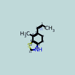 C/C=C\C1=C(C)C2=C(CC1)NCS2